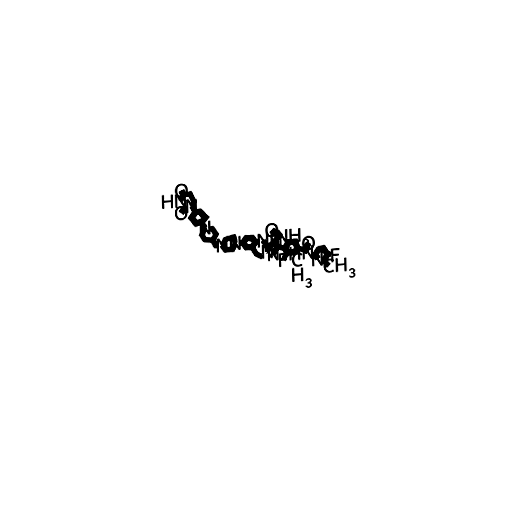 Cc1nc(NC(=O)c2ccc(-c3nn4c(c3C(N)=O)Nc3ccc(N5CCN(CC6CCN(c7ccc(N8CCC(=O)NC8=O)cc7)CC6)CC5)cc3CC4)c(F)c2C)ccc1F